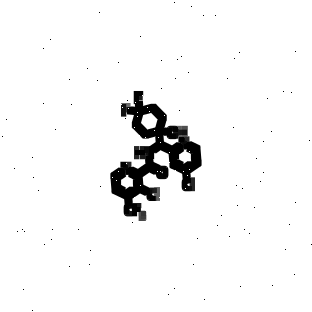 O=C(NC(c1cc(Cl)ccn1)C1(O)CCC(F)(F)CC1)c1nccc(C(F)(F)F)c1Cl